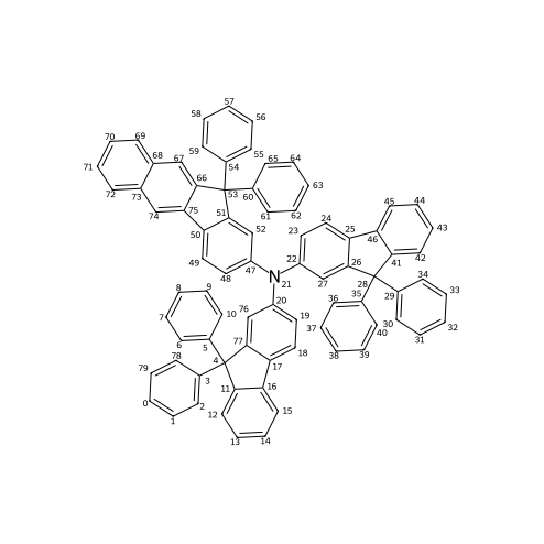 c1ccc(C2(c3ccccc3)c3ccccc3-c3ccc(N(c4ccc5c(c4)C(c4ccccc4)(c4ccccc4)c4ccccc4-5)c4ccc5c(c4)C(c4ccccc4)(c4ccccc4)c4cc6ccccc6cc4-5)cc32)cc1